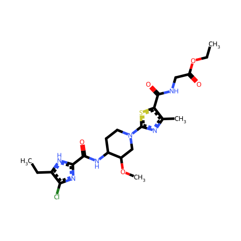 CCOC(=O)CNC(=O)c1sc(N2CCC(NC(=O)c3nc(Cl)c(CC)[nH]3)C(OC)C2)nc1C